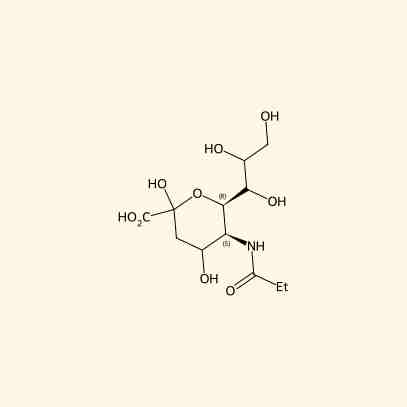 CCC(=O)N[C@H]1C(O)CC(O)(C(=O)O)O[C@H]1C(O)C(O)CO